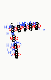 Cc1ccc2c(c1N)C(=O)c1ccccc1C2=O.Nc1ccc(N)c2c1C(=O)c1ccccc1C2=O.Nc1ccc2c(c1)C(=O)c1ccc(N)cc1C2=O.Nc1ccc2c(c1)C(=O)c1ccccc1C2=O.Nc1ccc2c(c1N)C(=O)c1ccccc1C2=O.Nc1cccc2c1C(=O)c1c(N)cccc1C2=O.Nc1cccc2c1C(=O)c1cccc(N)c1C2=O.Nc1cccc2c1C(=O)c1ccccc1C2=O